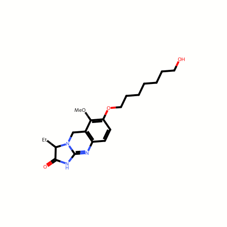 CCC1C(=O)NC2=Nc3ccc(OCCCCCCCO)c(OC)c3CN21